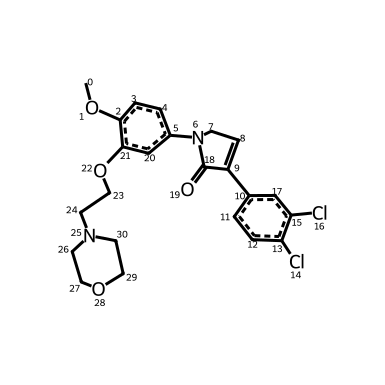 COc1ccc(N2CC=C(c3ccc(Cl)c(Cl)c3)C2=O)cc1OCCN1CCOCC1